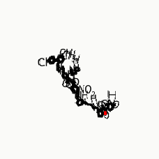 CC1(C)CCC(CN2CCN(c3ccc(C(=O)NS(=O)(=O)c4ccc(NCC5CCCN(CCCCNc6cccc7c6C(=O)N(C6CCC(=O)NC6=O)C7=O)C5)c([N+](=O)[O-])c4)c(Oc4cnc5[nH]ccc5c4)c3)CC2)=C(c2ccc(Cl)cc2)C1